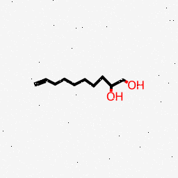 C=CCCCCCCC(O)CO